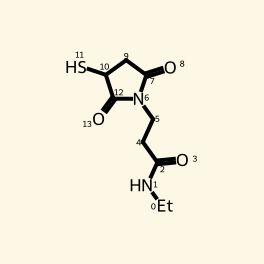 CCNC(=O)CCN1C(=O)CC(S)C1=O